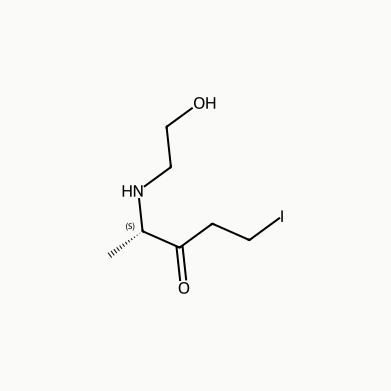 C[C@H](NCCO)C(=O)CCI